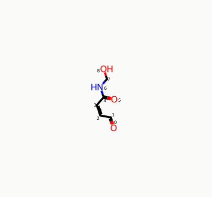 O=C/C=C\C(=O)NCO